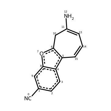 N#Cc1ccc2c3c(oc2c1)CC(N)=CC=C3